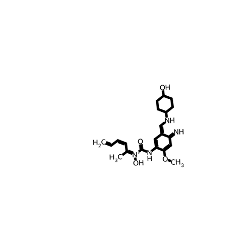 C=C/C=C\C(C)=[N+](\O)C(=O)NC1=C/C(=C/NC2CCC(O)CC2)C(=N)C=C1OC